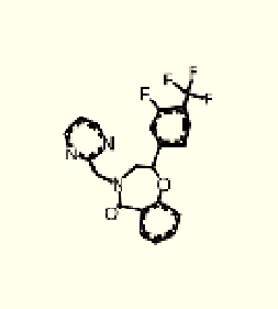 O=C1c2ccccc2OC(c2ccc(C(F)(F)F)c(F)c2)CN1Cc1ncccn1